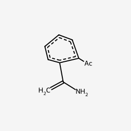 C=C(N)c1ccccc1C(C)=O